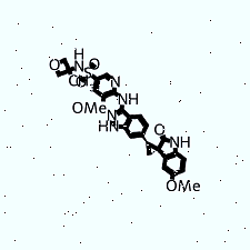 COc1ccc2c(c1)[C@]1(C[C@H]1c1ccc3c(Nc4ncc(S(=O)(=O)NC5(C)COC5)cc4OC)n[nH]c3c1)C(=O)N2